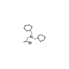 C=C(Br)CN(Cc1ccccc1)Cc1ccccc1